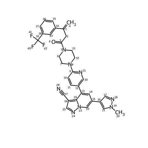 C=C(CC(=O)N1CCN(c2ccc(-c3cc(-c4cnn(C)c4)cn4ncc(C#N)c34)cn2)CC1)c1cccc(C(F)(F)F)c1